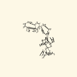 NCC1(CN)C[C@@H]2C[C@H]1CN2c1nccc(-c2ccc3ccccc3c2)n1